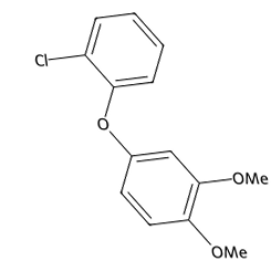 COc1ccc(Oc2ccccc2Cl)cc1OC